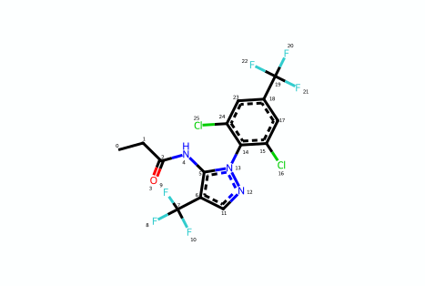 CCC(=O)Nc1c(C(F)(F)F)cnn1-c1c(Cl)cc(C(F)(F)F)cc1Cl